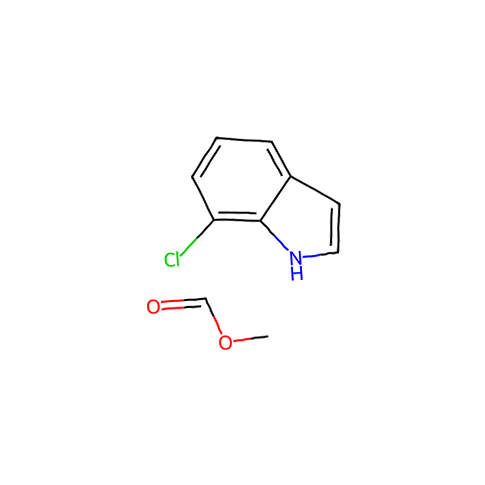 COC=O.Clc1cccc2cc[nH]c12